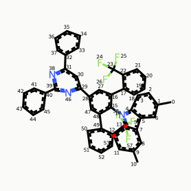 Cc1ccc2c(c1)c1cc(C)ccc1n2-c1c(-c2ccccc2C(F)(F)F)cc(-c2cc(-c3ccccc3)nc(-c3ccccc3)n2)cc1-c1ccccc1C(F)(F)F